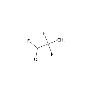 CC(F)(F)C([O])F